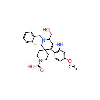 COc1ccc2c3c([nH]c2c1)C(CO)N(Cc1ccccc1F)CC31CCN(C(=O)O)CC1